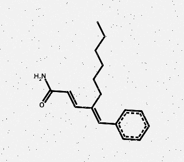 CCCCCCC(/C=C/C(N)=O)=C\c1ccccc1